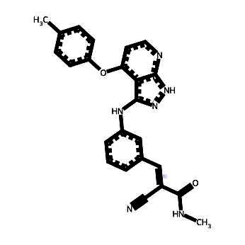 CNC(=O)/C(C#N)=C/c1cccc(Nc2n[nH]c3nccc(Oc4ccc(C)cc4)c23)c1